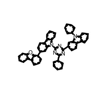 c1ccc(-c2nc(-c3ccc4c5ccccc5n(-c5ccccc5)c4c3)nc(-n3c4ccccc4c4ccc(-c5cccc6c5oc5ccccc56)cc43)n2)cc1